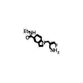 CCNC(=O)c1ccc2c(ccn2C/C(=C/F)CN)c1